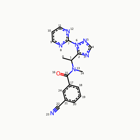 CC(c1ncnn1-c1ncccn1)N(C)C(=O)c1cccc(C#N)c1